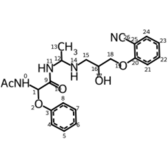 CC(=O)NC(Oc1ccccc1)C(=O)NC(C)NCC(O)COc1ccccc1C#N